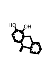 C=C1c2ccccc2Cc2c1ccc(O)c2O